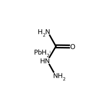 NNC(N)=O.[PbH2]